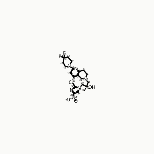 C[C@](O)(CN1CCc2nc(N3CCC(F)(F)CC3)ccc2C1)Cn1cc([N+](=O)[O-])nc1Cl